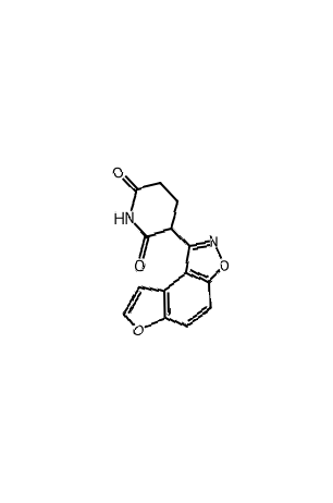 O=C1CCC(c2noc3ccc4occc4c23)C(=O)N1